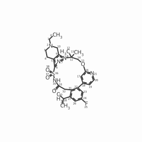 CCN1CCc2c3nn(c2C1)C(C)(C)COc1cc(ccn1)-c1cc(F)cc(C(C)C)c1CC(=O)NS3(=O)=O